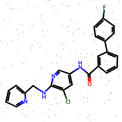 O=C(Nc1cnc(NCc2ccccn2)c(Cl)c1)c1cccc(-c2ccc(F)cc2)c1